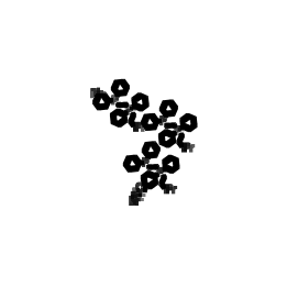 CC(C)CC[P+](CCP(c1ccccc1)c1ccccc1)(c1ccccc1)c1ccccc1.CC(C)CC[P+](CCP(c1ccccc1)c1ccccc1)(c1ccccc1)c1ccccc1.CC(C)CC[P+](CCP(c1ccccc1)c1ccccc1)(c1ccccc1)c1ccccc1.[Br-].[Br-].[Br-].[C]=O.[Rh]